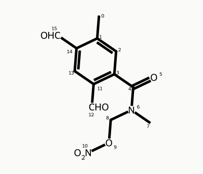 Cc1cc(C(=O)N(C)CO[N+](=O)[O-])c(C=O)cc1C=O